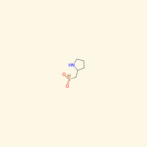 O=[SH](=O)CC1CCCN1